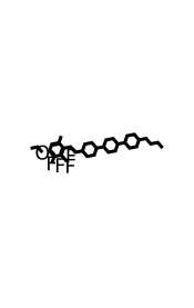 CCCCC1CCC(C2CCC(C3CCC(CCc4c(C)cc(OCC)c(F)c4C(F)(F)F)CC3)CC2)CC1